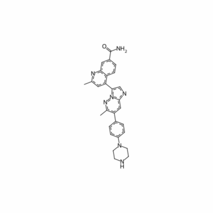 Cc1cc(-c2cnc3cc(-c4ccc(N5CCNCC5)cc4)c(C)nn23)c2ccc(C(N)=O)cc2n1